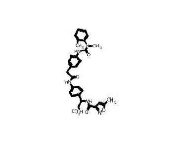 Cc1cc(C(=O)NC(CC(=O)O)c2ccc(NC(=O)Cc3ccc(NC(=O)N(C)c4ccccc4C)cc3)cc2)no1